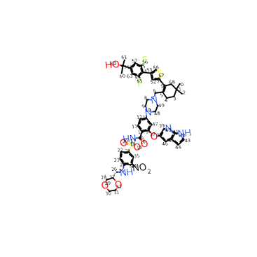 CC1(C)CCC(CN2CCN(c3ccc(C(=O)NS(=O)(=O)c4ccc(NC[C@H]5COCCO5)c([N+](=O)[O-])c4)c(Oc4cnc5[nH]ccc5c4)c3)CC2)=C(c2cc(-c3c(F)cc(C(C)(C)O)cc3F)cs2)C1